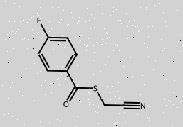 N#CCSC(=O)c1ccc(F)cc1